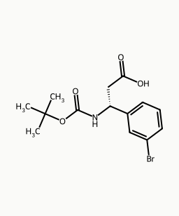 CC(C)(C)OC(=O)N[C@H](CC(=O)O)c1cccc(Br)c1